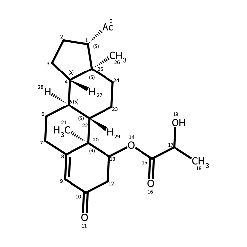 CC(=O)[C@H]1CC[C@H]2[C@@H]3CCC4=CC(=O)CC(OC(=O)C(C)O)[C@]4(C)[C@H]3CC[C@]12C